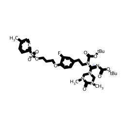 Cc1ccc(S(=O)(=O)OCCCOc2ccc(CCN(C(=O)OC(C)(C)C)/C(=N/C(=O)OC(C)(C)C)N3CN(C)C(=O)N(C)C3)cc2F)cc1